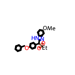 CCS(=O)(=O)C(c1ccc(OCc2ccccc2)cc1)c1nc2cc(OC)ccc2[nH]1